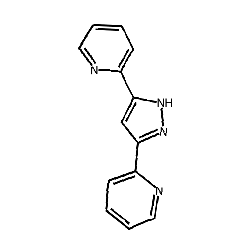 c1ccc(-c2cc(-c3ccccn3)[nH]n2)nc1